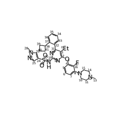 CCc1c(Oc2cccc(N3CCN(C)CC3)c2F)nc(NS(=O)(=O)c2cnn(C)c2)nc1-c1ccccc1C1CCC1